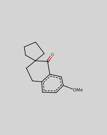 COc1ccc2c(c1)C(=O)C1(CCCC1)CC2